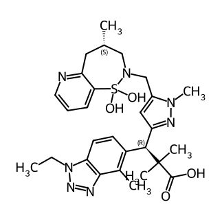 CCn1nnc2c(C)c([C@@H](c3cc(CN4C[C@@H](C)Cc5ncccc5S4(O)O)n(C)n3)C(C)(C)C(=O)O)ccc21